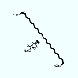 C=C.CCCCCCCC/C=C\CCCCCCCCOCCCCCCCC/C=C\CCCCCCCC.O.O=P([O-])(O)O.[Na+]